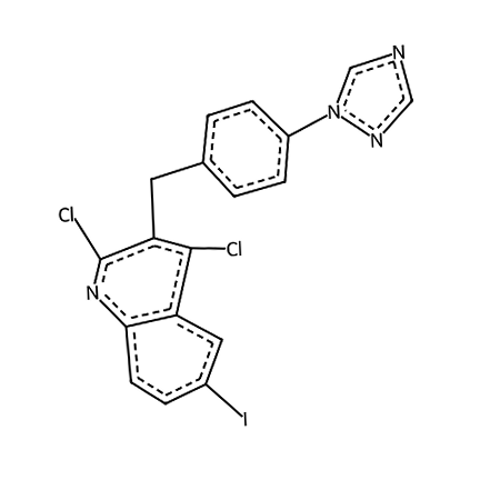 Clc1nc2ccc(I)cc2c(Cl)c1Cc1ccc(-n2cncn2)cc1